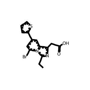 CCc1nc(CC(=O)O)c2cc(-c3cccs3)cc(Br)n12